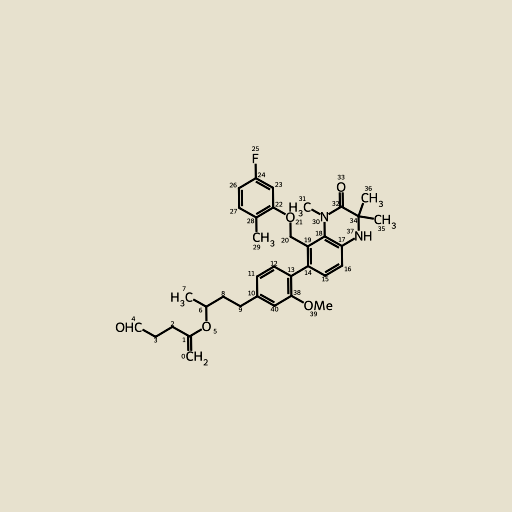 C=C(CCC=O)OC(C)CCc1ccc(-c2ccc3c(c2COc2cc(F)ccc2C)N(C)C(=O)C(C)(C)N3)c(OC)c1